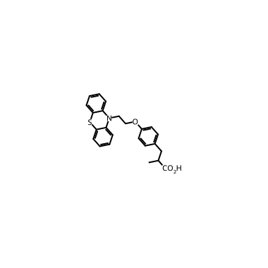 CC(Cc1ccc(OCCN2c3ccccc3Sc3ccccc32)cc1)C(=O)O